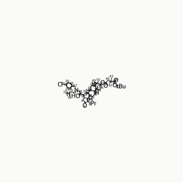 CC(C)C1=C2C(CC1=O)[C@@H]([C@@H](O)CN(CCN(C)C)Cc1ccc(Cl)cc1)C[C@]1(C)[C@@H]2CC[C@@H]2[C@@]3(C)CC[C@H](OC(=O)CC(C)(C)C(=O)OC(C)(C)C)C(C)(C)[C@@H]3CC[C@]21C